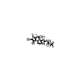 C[C@H](C(=O)N1CC=CC2N=C(NC(=O)OC(C)(C)C)NC21)c1cc(Br)c(Br)n1C